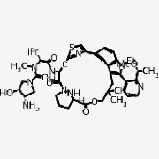 CCn1c(-c2cccnc2[C@H](C)OC)c2c3cc(ccc31)-c1csc(n1)C[C@H](NC(=O)[C@H](C(C)C)N(C)C(=O)N1C[C@H](N)[C@@H](O)C1)C(=O)N1CCC[C@H](N1)C(=O)OCC(C)(C)C2